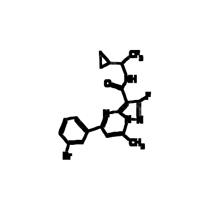 Cc1cc(-c2cccc(Br)c2)nc2c(C(=O)NC(C3CC3)C(F)(F)F)c(F)nn12